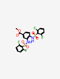 COC(=O)c1ccc(NS(=O)(=O)c2c(F)cccc2F)c(NS(=O)(=O)c2c(F)cccc2F)c1